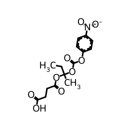 CCC(C)(OC(=O)CCC(=O)O)OC(=O)Oc1ccc([N+](=O)[O-])cc1